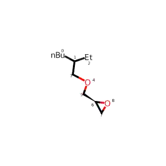 CCCCC(CC)COC[C@@H]1CO1